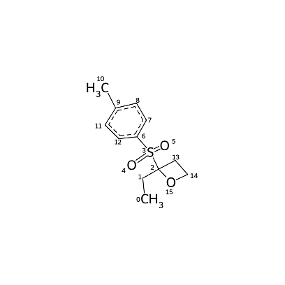 CCC1(S(=O)(=O)c2ccc(C)cc2)CCO1